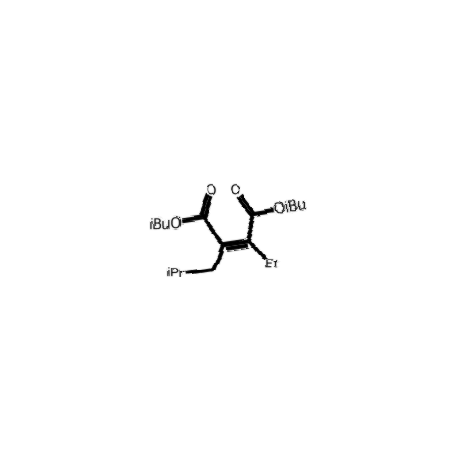 CC/C(C(=O)OCC(C)C)=C(\CC(C)C)C(=O)OCC(C)C